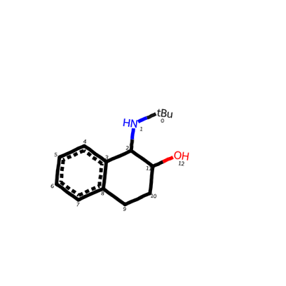 CC(C)(C)NC1c2ccccc2CCC1O